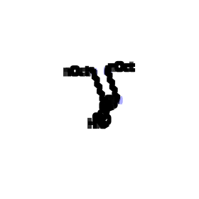 CCCCCCCC/C=C\CCCCCC/C=C\OCC(COP1(=O)NCCO1)OC(=O)CCCCCCC/C=C\CCCCCCCC